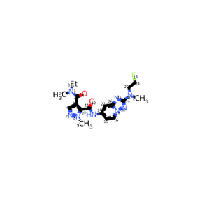 CCN(C)C(=O)c1cnn(C)c1C(=O)Nc1ccn2nc(N(C)CCF)nc2c1